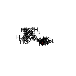 C=C1CC(CC[C@@]23C[C@H]4O[C@H]5C(O2)[C@H]2O[C@@H](CC)CC[C@@H]2O[C@H]5C4O3)O[C@H]1CCC1C[C@@H](C)C(=C)[C@@H](CC2O[C@H](C[C@H](O)CO)[C@H](C)[C@H]2Cc2ccccc2)O1